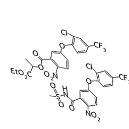 CCOC(=O)C(C)OC(=O)c1cc(Oc2ccc(C(F)(F)F)cc2Cl)ccc1[N+](=O)[O-].CS(=O)(=O)NC(=O)c1cc(Oc2ccc(C(F)(F)F)cc2Cl)ccc1[N+](=O)[O-]